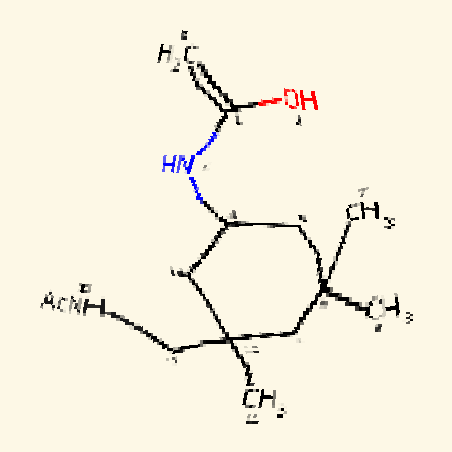 C=C(O)NC1CC(C)(C)CC(C)(CNC(C)=O)C1